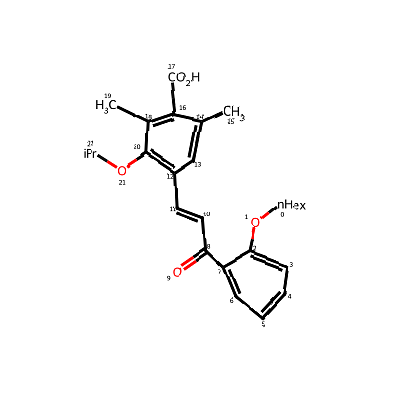 CCCCCCOc1ccccc1C(=O)/C=C/c1cc(C)c(C(=O)O)c(C)c1OC(C)C